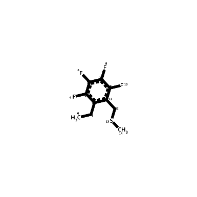 CCc1c(F)c(F)c(F)c(F)c1CSC